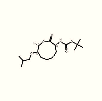 CC(C)CO[C@@H]1CCOC[C@H](NC(=O)OC(C)(C)C)C(=O)O[C@H]1C